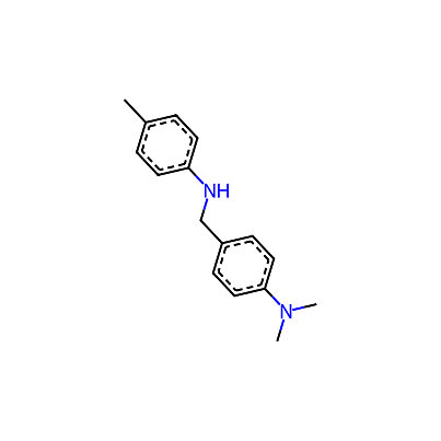 Cc1ccc(NCc2ccc(N(C)C)cc2)cc1